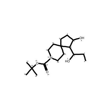 CCC(O)C1C(O)CCC12CCN(C(=O)OC(C)(C)C)CC2